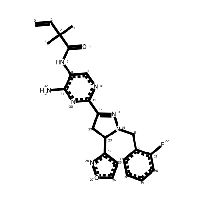 C=CC(C)(C)C(=O)Nc1cnc(C2=NN(Cc3ccccc3F)C(c3ccon3)C2)nc1N